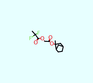 CC(F)(F)C(=O)OCC(=O)OC1(C)CC2CCC1C2